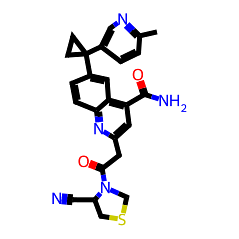 Cc1ccc(C2(c3ccc4nc(CC(=O)N5CSCC5C#N)cc(C(N)=O)c4c3)CC2)cn1